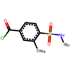 COc1cc(C(=O)Cl)ccc1S(=O)(=O)NC(C)(C)C